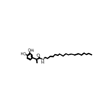 CCCCCCCCCCCCCCCCCCNC(=O)C(C)c1ccc(O)c(O)c1